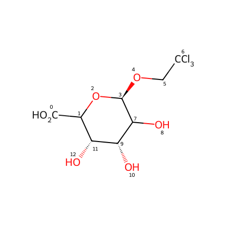 O=C(O)C1O[C@@H](OCC(Cl)(Cl)Cl)C(O)[C@H](O)[C@@H]1O